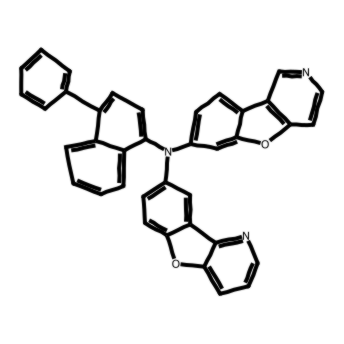 c1ccc(-c2ccc(N(c3ccc4c(c3)oc3ccncc34)c3ccc4oc5cccnc5c4c3)c3ccccc23)cc1